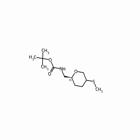 CSC1CC[C@@H](CNC(=O)OC(C)(C)C)OC1